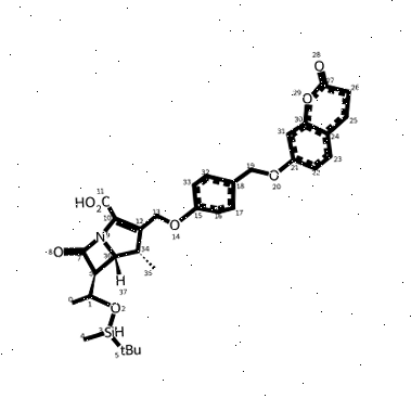 CC(O[SiH](C)C(C)(C)C)[C@H]1C(=O)N2C(C(=O)O)=C(COc3ccc(COc4ccc5ccc(=O)oc5c4)cc3)[C@H](C)[C@H]12